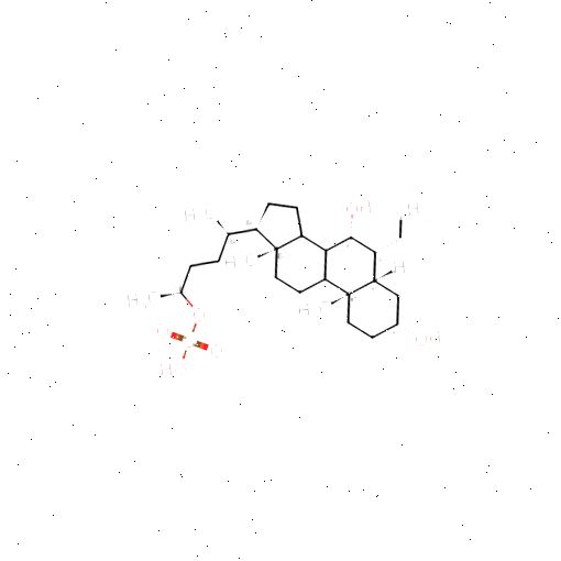 CC[C@H]1[C@@H](O)C2C3CC[C@H]([C@H](C)CC[C@H](C)OS(=O)(=O)O)[C@@]3(C)CCC2[C@@]2(C)CC[C@@H](O)C[C@@H]12